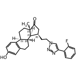 C[C@]12CC[C@@H]3c4ccc(O)cc4CC[C@H]3[C@@H]1[C@H](CCn1cc(-c3ccccc3F)nn1)CC2=O